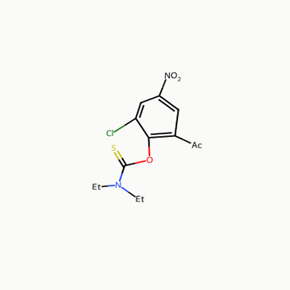 CCN(CC)C(=S)Oc1c(Cl)cc([N+](=O)[O-])cc1C(C)=O